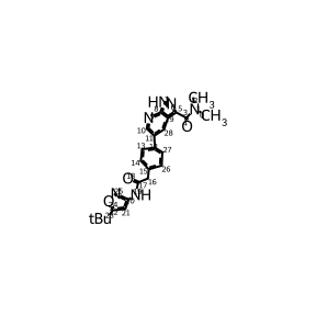 CN(C)C(=O)c1n[nH]c2ncc(-c3ccc(CC(=O)Nc4cc(C(C)(C)C)on4)cc3)cc12